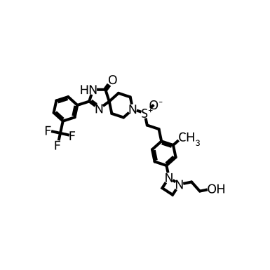 Cc1cc(N2CCN2CCO)ccc1CC[S+]([O-])N1CCC2(CC1)N=C(c1cccc(C(F)(F)F)c1)NC2=O